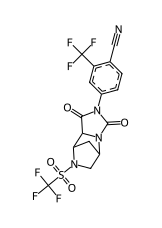 N#Cc1ccc(N2C(=O)C3C4CC(CN4S(=O)(=O)C(F)(F)F)N3C2=O)cc1C(F)(F)F